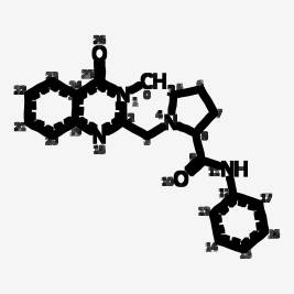 Cn1c(CN2CCCC2C(=O)Nc2ccccc2)nc2ccccc2c1=O